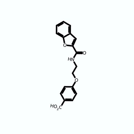 O=C(O)c1ccc(OCCNC(=O)c2cc3ccccc3o2)cc1